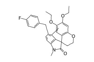 CCOc1cc2c(cc1OCC)C1(CCO2)C(=O)N(C)c2ccc(Cc3ccc(F)cc3)c(C)c21